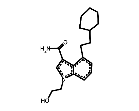 NC(=O)c1cn(CCO)c2cccc(CCC3CCCCC3)c12